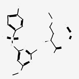 COc1cc(NS(=O)(=O)c2ccc(N)cc2)nc(C)n1.CSCC[C@H](N)C(=O)O.N=[SH2]=O